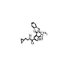 CN(Cc1ccccc1)C(=O)c1cc(C(=O)NCCC2CC2)c[nH]c1=O